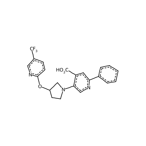 O=C(O)c1cc(-c2ccccc2)ncc1N1CCC(Oc2ccc(C(F)(F)F)cn2)C1